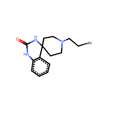 CC(C)CCN1CCC2(CC1)NC(=O)Nc1ccccc12